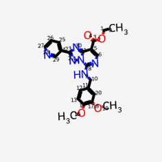 CCOC(=O)c1cnc(NCc2ccc(OC)c(OC)c2)n2nc(-c3cccnc3)nc12